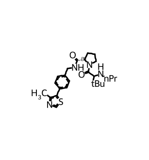 CCCNC(C(=O)N1CCC[C@H]1C(=O)NCc1ccc(-c2scnc2C)cc1)C(C)(C)C